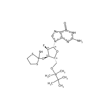 CC(C)(C)[Si](C)(C)OC[C@H]1O[C@@H](n2cnc3c(=O)[nH]c(N)nc32)[C@H](F)[C@@H]1O[P]1(S)SCCS1